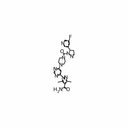 Cc1nn(-c2cc(N3CCN(C(=O)N4N=CCC4c4cncc(F)c4)CC3)ncn2)c(C)c1C(N)=O